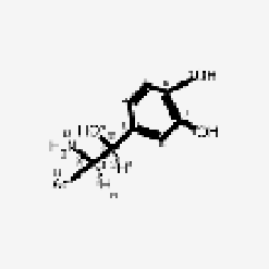 [2H][C@](O)(c1ccc(O)c(O)c1)[C@]([2H])(N)C(C)=O